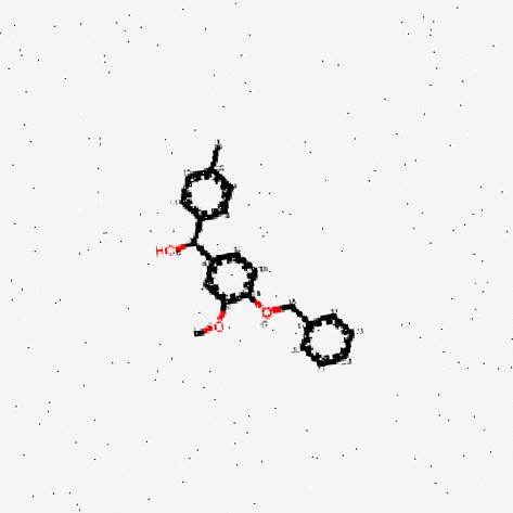 COc1cc(C(O)c2ccc(C)cc2)ccc1OCc1ccccc1